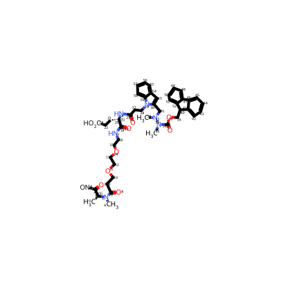 C[C@@H](C(=O)N=O)N(C)C(=O)CCOCCOCCNC(=O)[C@H](CCC(=O)O)NC(=O)CCn1c(CN(C)N(C)C(=O)OCC2c3ccccc3-c3ccccc32)cc2ccccc21